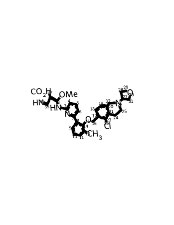 CO/C(Nc1cccc(-c2cccc(C)c2OCc2ccc3c(c2Cl)CCN(C2CCOC2)C3)n1)=C(/C=N)C(=O)O